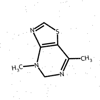 CC1=NCN(C)c2ncsc21